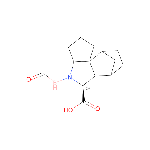 O=CBN1C2CCCC23C2CCC(C2)C3[C@H]1C(=O)O